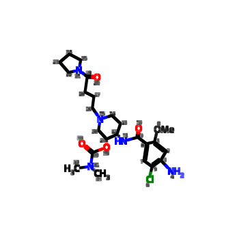 COc1cc(N)c(Cl)cc1C(=O)N[C@H]1CCN(CCCC(=O)N2CCCC2)C[C@H]1OC(=O)N(C)C